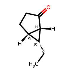 CC[C@@H]1[C@@H]2CCC(=O)[C@H]12